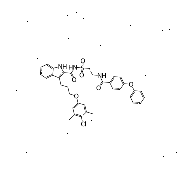 Cc1cc(OCCCc2c(C(=O)NS(=O)(=O)CCNC(=O)c3ccc(Oc4ccccc4)cc3)[nH]c3ccccc23)cc(C)c1Cl